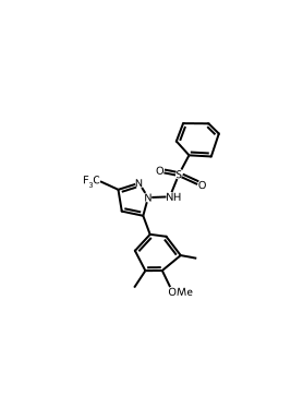 COc1c(C)cc(-c2cc(C(F)(F)F)nn2NS(=O)(=O)c2ccccc2)cc1C